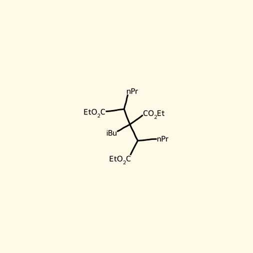 CCCC(C(=O)OCC)C(C(=O)OCC)(C(C)CC)C(CCC)C(=O)OCC